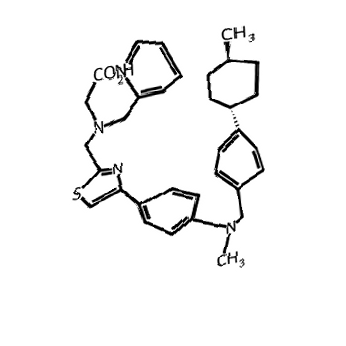 CN(Cc1ccc([C@H]2CC[C@H](C)CC2)cc1)c1ccc(-c2csc(CN(CC(=O)O)Cc3ccccn3)n2)cc1